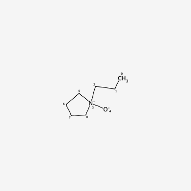 CCC[N+]1([O-])CCCC1